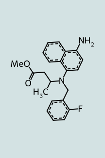 COC(=O)CC(C)N(Cc1ccccc1F)c1ccc(N)c2ccccc12